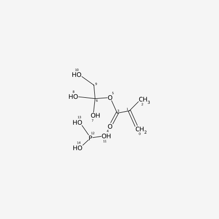 C=C(C)C(=O)OC(O)(O)CO.OP(O)O